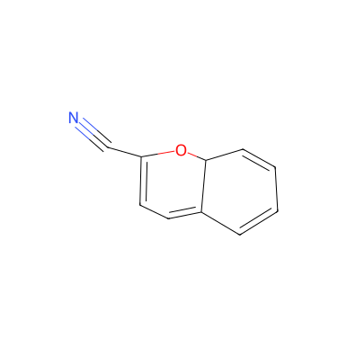 N#CC1=CC=C2C=CC=CC2O1